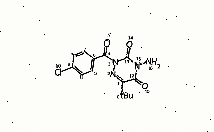 CC(C)(C)c1nn(C(=O)c2ccc(Cl)cc2)c(=O)n(N)c1=O